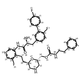 N[C@@H](Cc1ccc(F)c(-c2ccc(F)cc2)c1)C(=O)Nc1cncc(F)c1CC[C@@H]1CNC[C@@H](COC(=O)NCCc2ccccc2)O1